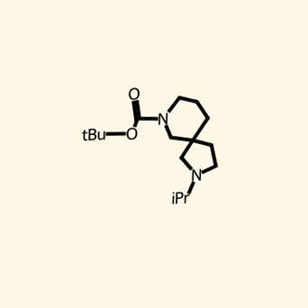 CC(C)N1CCC2(CCCN(C(=O)OC(C)(C)C)C2)C1